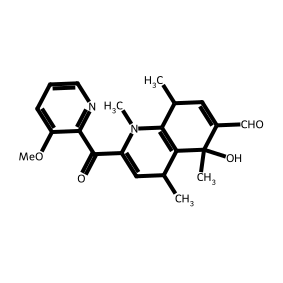 COc1cccnc1C(=O)C1=CC(C)C2=C(C(C)C=C(C=O)C2(C)O)N1C